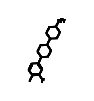 CCCC1CCC(C2CCC(c3ccc(C)c(F)c3)CC2)CC1